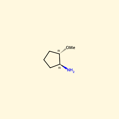 CO[C@H]1CCC[C@@H]1N